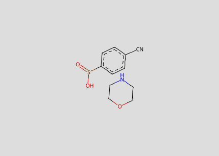 C1COCCN1.N#Cc1ccc(S(=O)O)cc1